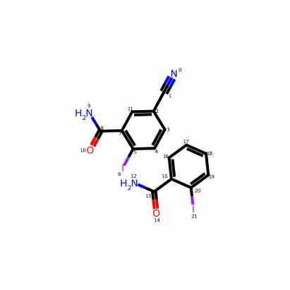 N#Cc1ccc(I)c(C(N)=O)c1.NC(=O)c1ccccc1I